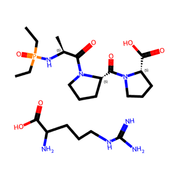 CCP(=O)(CC)N[C@@H](C)C(=O)N1CCC[C@H]1C(=O)N1CCC[C@H]1C(=O)O.N=C(N)NCCCC(N)C(=O)O